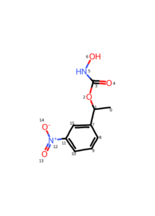 CC(OC(=O)NO)c1cccc([N+](=O)[O-])c1